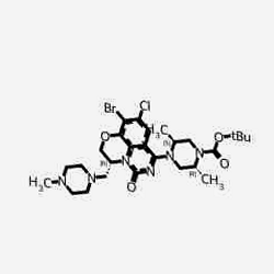 C[C@@H]1CN(c2nc(=O)n3c4c(c(Br)c(Cl)cc24)OC[C@H]3CN2CCN(C)CC2)[C@@H](C)CN1C(=O)OC(C)(C)C